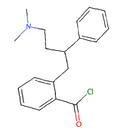 CN(C)CCC(Cc1ccccc1C(=O)Cl)c1ccccc1